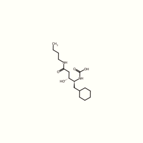 CCCCNC(=O)C[C@@H](O)[C@H](CC1CCCCC1)NC(=O)O